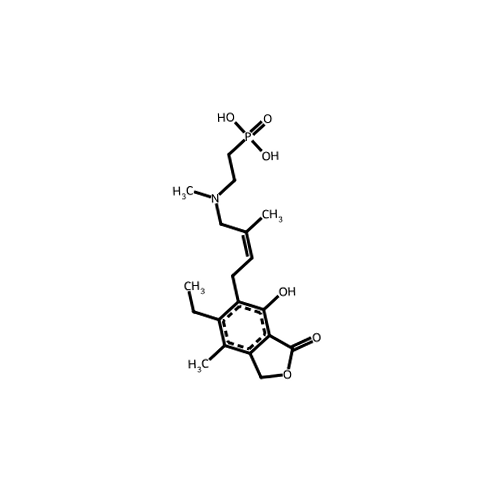 CCc1c(C)c2c(c(O)c1CC=C(C)CN(C)CCP(=O)(O)O)C(=O)OC2